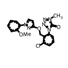 COc1ccccc1-n1ccc(OCc2c(Cl)cccc2-n2nnn(C)c2=O)n1